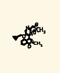 Cn1cc(-c2nc(CS(C)(=O)=O)ncc2OCC2CC2)c2ccccc2c1=O